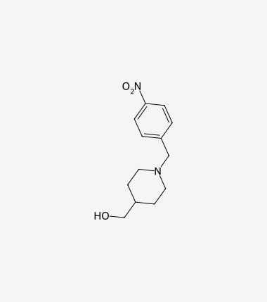 O=[N+]([O-])c1ccc(CN2CCC(CO)CC2)cc1